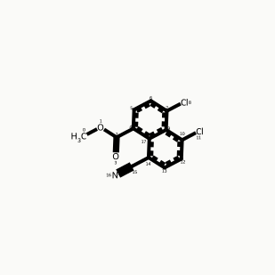 COC(=O)c1ccc(Cl)c2c(Cl)ccc(C#N)c12